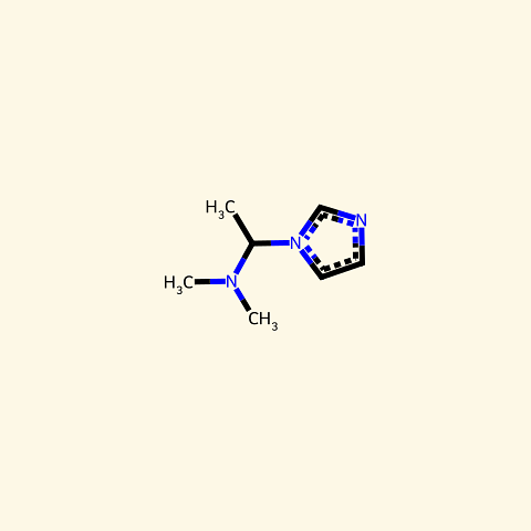 CC(N(C)C)n1ccnc1